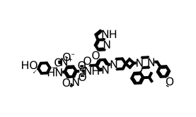 COc1ccc(CN2CCN(C3CC4(CCN(c5cc(Oc6cnc7[nH]ccc7c6)c(C(=O)NS(=O)(=O)c6cc([N+](=O)[O-])c(NC[C@H]7CC[C@](C)(O)CC7)c7ocnc67)cn5)CC4)C3)[C@H](c3ccccc3C(C)C)C2)cc1